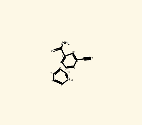 C#Cc1cccc(C(N)=O)c1.c1ccncc1